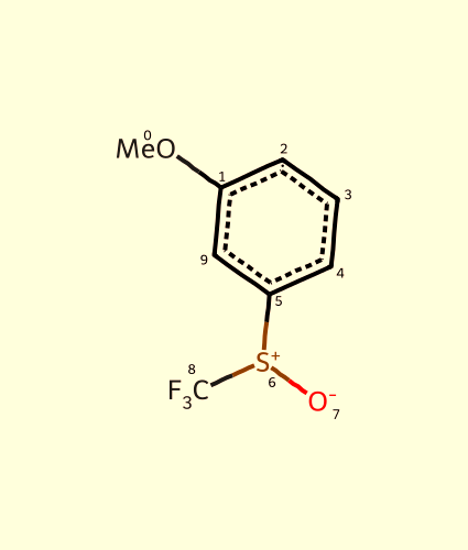 COc1[c]ccc([S+]([O-])C(F)(F)F)c1